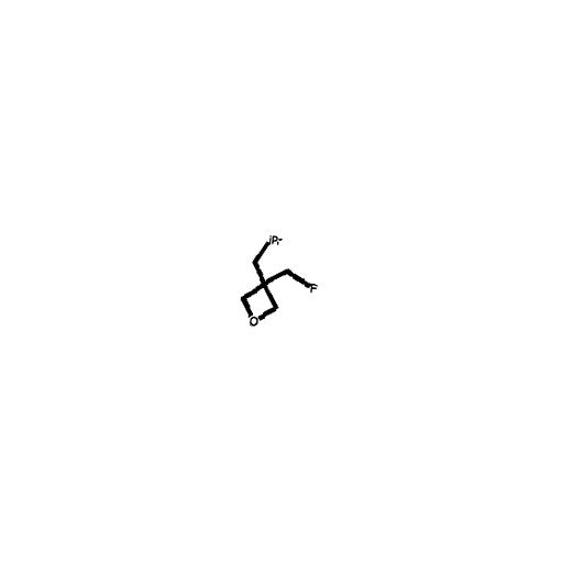 CC(C)CC1(CF)COC1